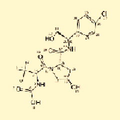 CC(C)(C)[C@H](NC(=O)O)C(=O)N1C[C@H](O)C[C@H]1C(=O)N[C@@H](CO)c1ccc(Cl)cc1